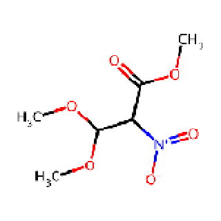 COC(=O)C(C(OC)OC)[N+](=O)[O-]